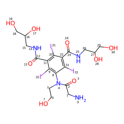 NCC(=O)N(CCO)c1c(I)c(C(=O)NCC(O)CO)c(I)c(C(=O)NCC(O)CO)c1I